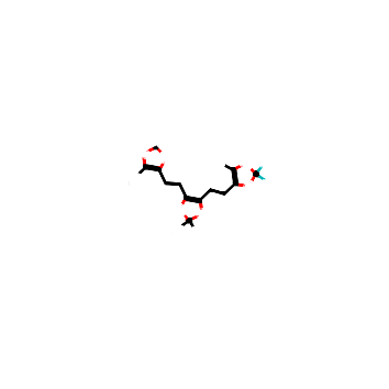 CC1=C(CCC2=C(CCC3=C(C)OC(F)(F)O3)OC(C)(C)O2)OCO1